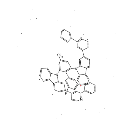 Fc1cc(F)cc(-c2c(-n3c4ccccc4c4ccc(-c5ccnc(-c6ccccc6)c5)cc43)cc(C(F)(F)F)cc2-n2c3ccccc3c3ccc(-c4ccnc(-c5ccccc5)c4)cc32)c1